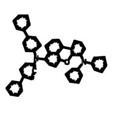 c1ccc(-c2ccc(N(c3ccc(-c4ccccc4)cc3)c3ccc4c5c(cccc35)-c3cccc(N(c5ccccc5)c5ccccc5)c3O4)cc2)cc1